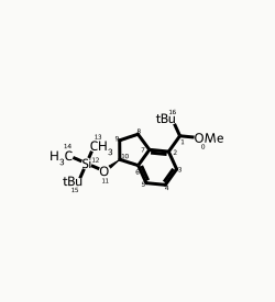 COC(c1cccc2c1CC[C@@H]2O[Si](C)(C)C(C)(C)C)C(C)(C)C